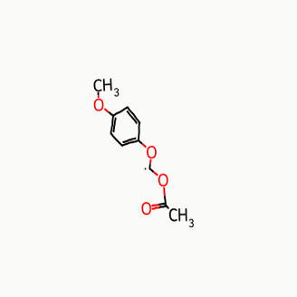 COc1ccc(O[CH]OC(C)=O)cc1